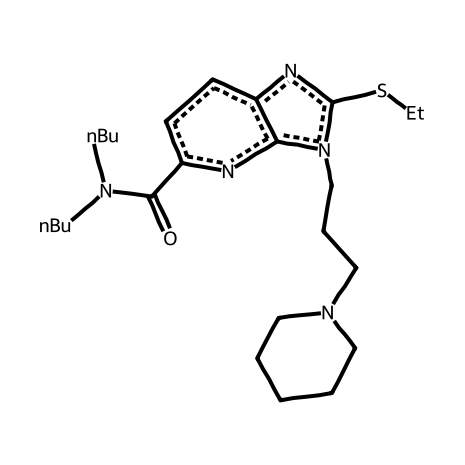 CCCCN(CCCC)C(=O)c1ccc2nc(SCC)n(CCCN3CCCCC3)c2n1